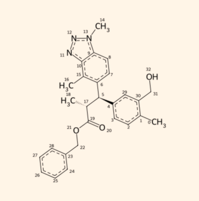 Cc1ccc([C@H](c2ccc3c(nnn3C)c2C)[C@@H](C)C(=O)OCc2ccccc2)cc1CO